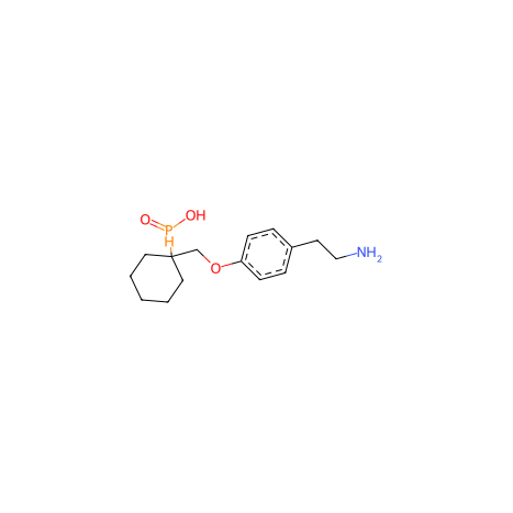 NCCc1ccc(OCC2([PH](=O)O)CCCCC2)cc1